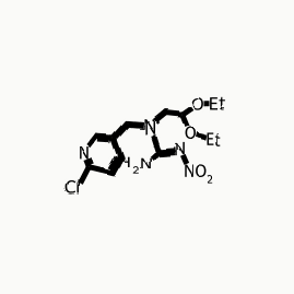 CCOC(CN(Cc1ccc(Cl)nc1)/C(N)=N/[N+](=O)[O-])OCC